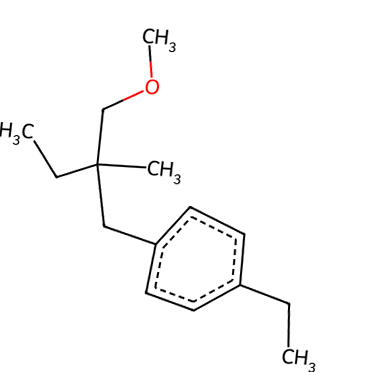 CCc1ccc(CC(C)(CC)COC)cc1